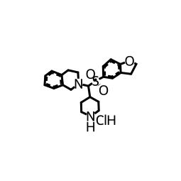 Cl.O=S(=O)(c1ccc2c(c1)CCO2)C(C1CCNCC1)N1CCc2ccccc2C1